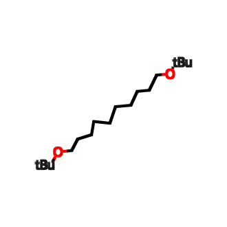 CC(C)(C)OCCCCCCCCCCOC(C)(C)C